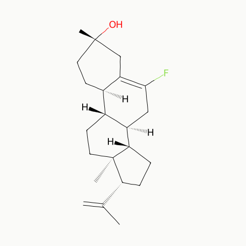 C=C(C)[C@H]1CC[C@H]2[C@@H]3CC(F)=C4C[C@@](C)(O)CC[C@@H]4[C@H]3CC[C@]12C